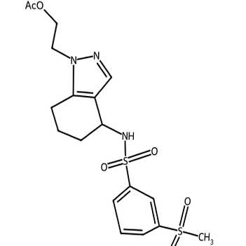 CC(=O)OCCn1ncc2c1CCCC2NS(=O)(=O)c1cccc(S(C)(=O)=O)c1